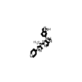 CN(c1cnn(C2CCOCC2)c1)c1ncc2nnn(-c3ccc4cn[nH]c4c3)c2n1